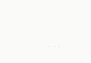 O=C(O)C1COC2(O1)C1CC3CC(C1)CC2C3